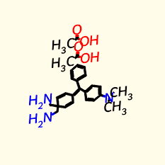 CC(=O)O.CC(=O)O.CN(C)c1ccc(C(=C2C=CC(CN)(CN)C=C2)c2ccccc2)cc1